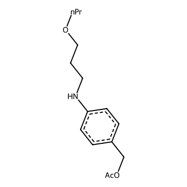 CCCOCCCNc1ccc(COC(C)=O)cc1